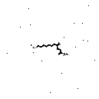 C=C(CCCCCCCCCCCCCCCC)CCC(=O)NC